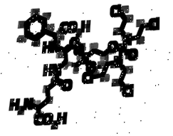 NC(CCC(=O)N[C@@H](CS(=O)(=O)CCOP(=O)(N(CCCl)CCCl)N(CCCl)CCCl)C(=O)N[C@@H](C(=O)O)c1ccccc1)C(=O)O